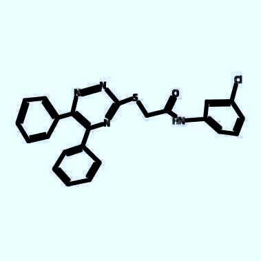 O=C(CSc1nnc(-c2ccccc2)c(-c2ccccc2)n1)Nc1cccc(Cl)c1